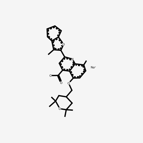 Cc1c(-c2cc(C(=O)[O-])c3c(OCC4CC(C)(C)OC(C)(C)C4)ccc(C)c3n2)oc2ccccc12.[Na+]